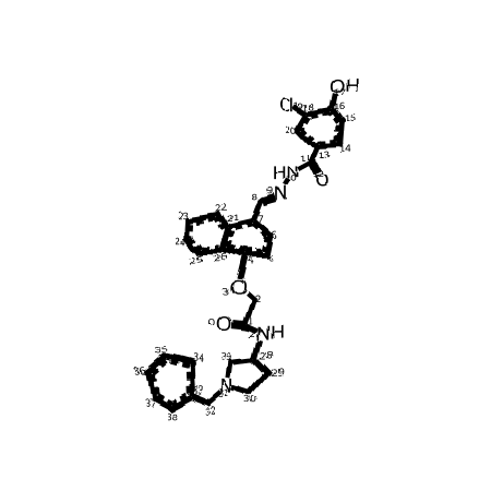 O=C(COc1ccc(C=NNC(=O)c2ccc(O)c(Cl)c2)c2ccccc12)NC1CCN(Cc2ccccc2)C1